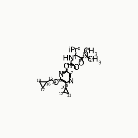 CC(C)C(NC(=O)Oc1cnc(C2CC2)c(OCC2CC2)n1)C(=O)N(C)C